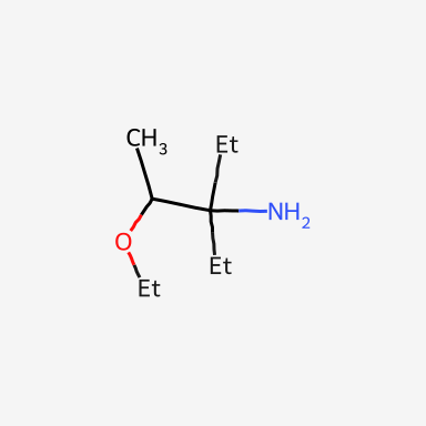 CCOC(C)C(N)(CC)CC